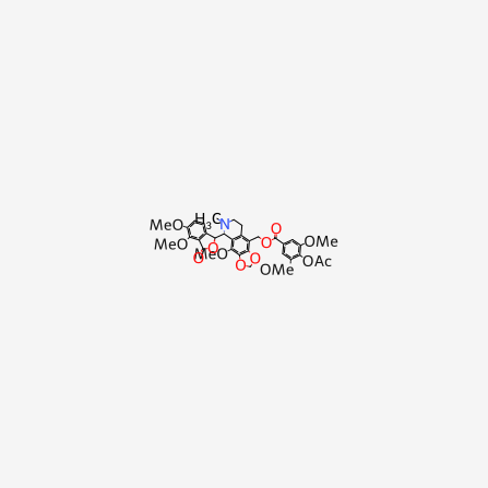 COc1cc(C(=O)OCc2c3c(c(OC)c4c2OCO4)[C@H]([C@H]2OC(=O)c4c2ccc(OC)c4OC)N(C)CC3)cc(OC)c1OC(C)=O